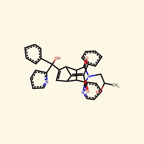 CC(O)CN1C(=O)C2C3C=C(C(O)(c4ccccc4)c4ccccn4)C(C3=C(c3ccccc3)c3ccccn3)C2C1=O